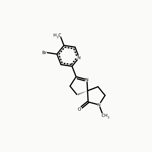 Cc1cnc(C2=N[C@@]3(CC2)CCN(C)C3=O)cc1Br